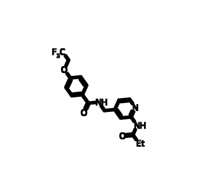 CCC(=O)Nc1cc(CNC(=O)c2ccc(OCC(F)(F)F)cc2)ccn1